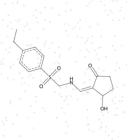 CCc1ccc(S(=O)(=O)CN/C=C2\C(=O)CCC2O)cc1